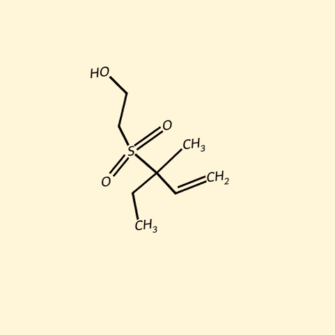 C=CC(C)(CC)S(=O)(=O)CCO